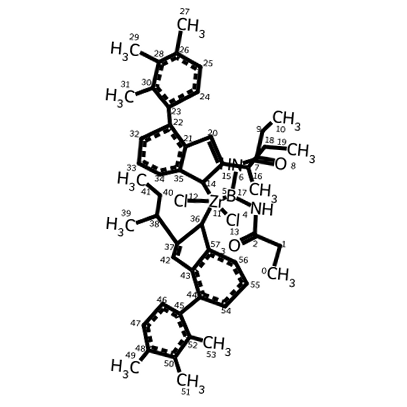 CCC(=O)N[B](NC(=O)CC)[Zr]([Cl])([Cl])([CH]1C(C(C)CC)=Cc2c(-c3ccc(C)c(C)c3C)cccc21)[CH]1C(C(C)CC)=Cc2c(-c3ccc(C)c(C)c3C)cccc21